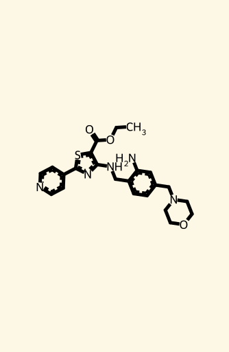 CCOC(=O)c1sc(-c2ccncc2)nc1NCc1ccc(CN2CCOCC2)cc1N